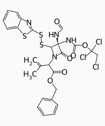 C=C(C)C(C(=O)OCc1ccccc1)N1C(=O)[C@@](NC=O)(NC(=O)OC(Cl)(Cl)CCl)C1SSc1nc2ccccc2s1